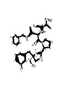 CNC(C)C(=O)NC(C(=O)N1CCCC1C1=N[C@](CO)(Cc2cccc(Cl)c2)CO1)C(C)OCc1ccccc1